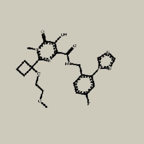 COCCOC1(c2nc(C(=O)NCc3ccc(F)cc3-n3cncn3)c(O)c(=O)n2C)CCC1